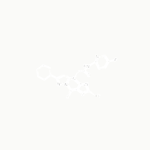 CC(C)c1nc2c(o1)c(=O)n1nc(C3CCCCC3)cc1n2CC(=O)Nc1ccc(F)cn1